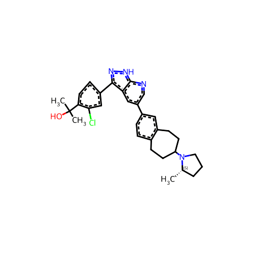 C[C@H]1CCCN1C1CCc2ccc(-c3cnc4[nH]nc(-c5ccc(C(C)(C)O)c(Cl)c5)c4c3)cc2CC1